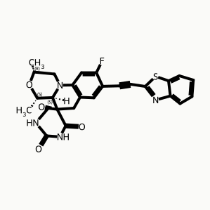 C[C@@H]1CN2c3cc(F)c(C#Cc4nc5ccccc5s4)cc3CC3(C(=O)NC(=O)NC3=O)[C@H]2[C@H](C)O1